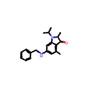 Cc1cc(NCc2ccccc2)cc2c1C(=O)C(C)N2C(C)C